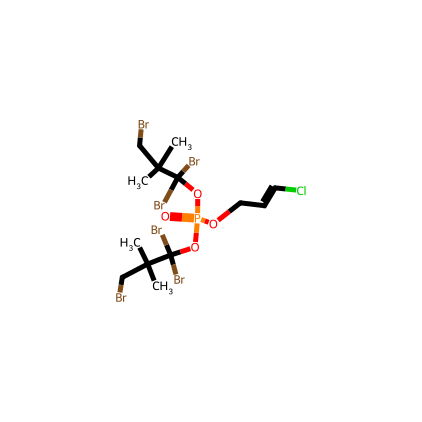 CC(C)(CBr)C(Br)(Br)OP(=O)(OCC=CCl)OC(Br)(Br)C(C)(C)CBr